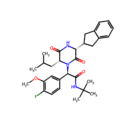 COc1cc([C@H](C(=O)NC(C)(C)C)N2C(=O)[C@@H](C3Cc4ccccc4C3)NC(=O)[C@H]2CC(C)C)ccc1F